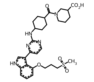 CS(=O)(=O)CCCOc1cccc2[nH]cc(-c3ccnc(NC4CCC(C(=O)N5CCCC(C(=O)O)C5)CC4)n3)c12